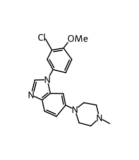 COc1ccc(-n2cnc3ccc(N4CCN(C)CC4)cc32)cc1Cl